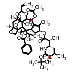 C=CC1O[C@H]2C[C@H]3OC[C@@]3(OC(C)=O)[C@@]34CC3(OC(=O)c3ccccc3)[C@]3(C(C)(C)O)C[C@H](OC(=O)[C@H](O)[C@H](CC(C)C)NC(=O)OC(C)(C)C)C(C)=C3[C@H](OC(C)=O)[C@H](O1)[C@]24C